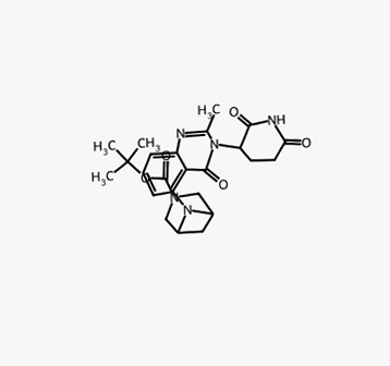 Cc1nc2cccc(N3C4CC3CN(C(=O)OC(C)(C)C)C4)c2c(=O)n1C1CCC(=O)NC1=O